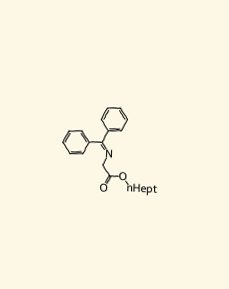 CCCCCCCOC(=O)CN=C(c1ccccc1)c1ccccc1